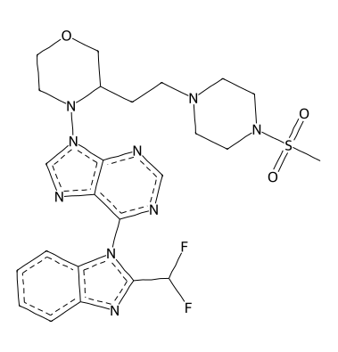 CS(=O)(=O)N1CCN(CCC2COCCN2n2cnc3c(-n4c(C(F)F)nc5ccccc54)ncnc32)CC1